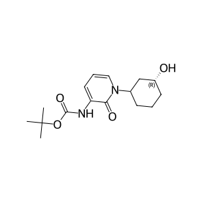 CC(C)(C)OC(=O)Nc1cccn(C2CCC[C@@H](O)C2)c1=O